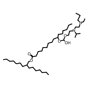 CCCCCCCC(CCCCCCC)COC(=O)CCCCCCCCC(CCCCCC)OC(O)OCCN(CCN(CC)CCC)C(C)C